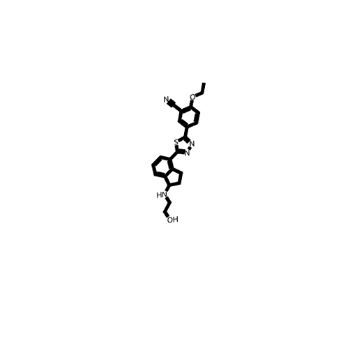 CCOc1ccc(-c2nnc(-c3cccc4c3CCC4NCCO)s2)cc1C#N